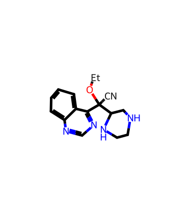 CCOC(C#N)(c1ncnc2ccccc12)C1CNCCN1